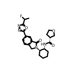 CC(F)c1nnc(-c2ccc3c(c2)C(=O)N([C@@H]2CCCC[C@H]2NC(=O)[C@@H]2CCOC2)C3)o1